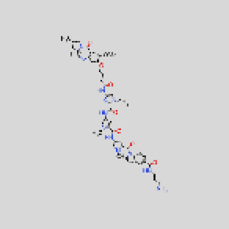 C=C1C[C@H]2C=Nc3cc(OCCCC(=O)Nc4cn(C)c(C(=O)Nc5cc(C(=O)Nc6cc(C(=O)n7ccc8cc(C(=O)NCCCN)ccc87)n(C)c6)n(C)c5)n4)c(OC)cc3C(=O)N2C1